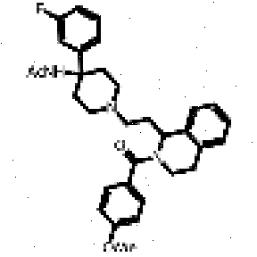 COc1ccc(C(=O)N2CCc3ccccc3C2CCN2CCC(NC(C)=O)(c3cccc(F)c3)CC2)cc1